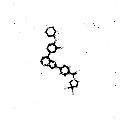 N#Cc1cc(-c2ccnc3cc(-c4ccc(C(=O)N5CCC(F)(F)C5)cc4)oc23)ccc1OC1CCOCC1